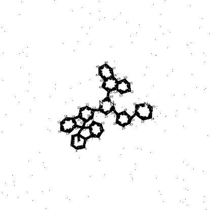 CC12C=CC=CC1c1ccccc1C21c2ccccc2-c2ccc(-c3cc(-c4cccc(-c5cccnc5)c4)nc(-c4cc5ccccc5c5ccccc45)n3)cc21